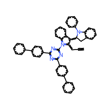 C#C/C=c1\c(=C2/Cc3ccccc3N2c2ccccc2)c2ccccc2n1-c1nc(-c2ccc(-c3ccccc3)cc2)nc(-c2ccc(-c3ccccc3)cc2)n1